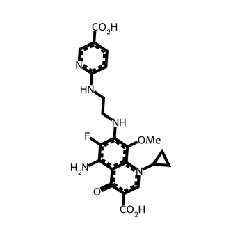 COc1c(NCCNc2ccc(C(=O)O)cn2)c(F)c(N)c2c(=O)c(C(=O)O)cn(C3CC3)c12